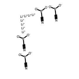 N#CB([O-])[O-].N#CB([O-])[O-].N#CB([O-])[O-].N#CB([O-])[O-].[Li+].[Li+].[Li+].[Li+].[Li+].[Li+].[Li+].[Li+]